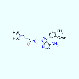 COc1cc(-c2nn(C3CN(C(=O)/C=C/CN(C)C)C3)c3ncnc(N)c23)ccc1C